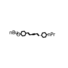 CCCCOC1CCC(C=CC#CC=C[C@H]2CC[C@H](CCC)CC2)CC1